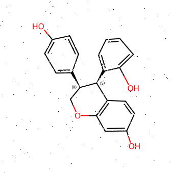 Oc1ccc([C@@H]2COc3cc(O)ccc3[C@@H]2c2ccccc2O)cc1